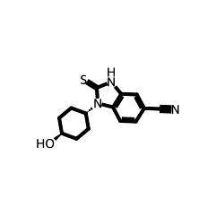 N#Cc1ccc2c(c1)[nH]c(=S)n2[C@H]1CC[C@H](O)CC1